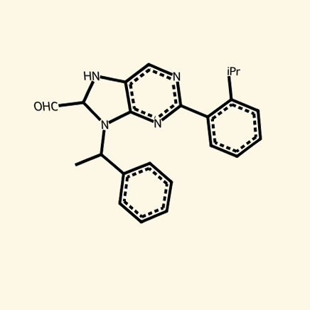 CC(C)c1ccccc1-c1ncc2c(n1)N(C(C)c1ccccc1)C(C=O)N2